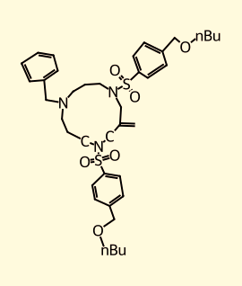 C=C1CN(S(=O)(=O)c2ccc(COCCCC)cc2)CCCN(Cc2ccccc2)CCCN(S(=O)(=O)c2ccc(COCCCC)cc2)C1